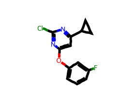 Fc1cccc(Oc2cc(C3CC3)nc(Cl)n2)c1